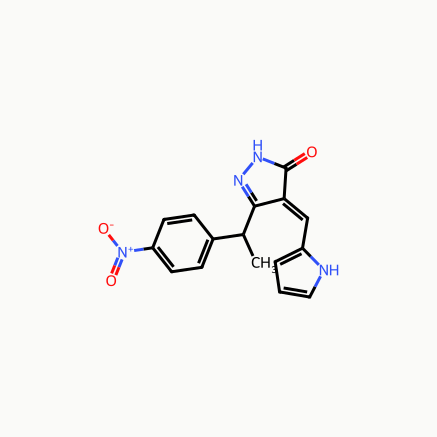 CC(C1=NNC(=O)/C1=C/c1ccc[nH]1)c1ccc([N+](=O)[O-])cc1